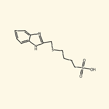 O=S(=O)(O)CCCCSCc1nc2ccccc2[nH]1